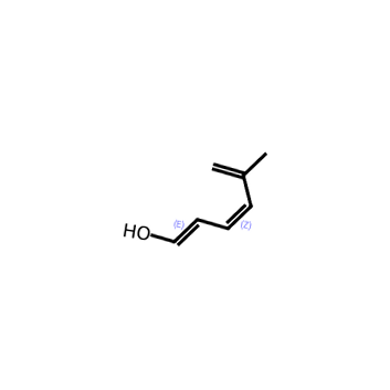 C=C(C)/C=C\C=C\O